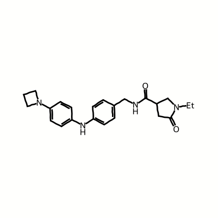 CCN1CC(C(=O)NCc2ccc(Nc3ccc(N4CCC4)cc3)cc2)CC1=O